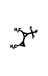 CC1C(C2=C[C@H]2C)C1C(F)(F)F